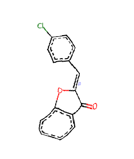 O=C1/C(=C/c2ccc(Cl)cc2)Oc2ccccc21